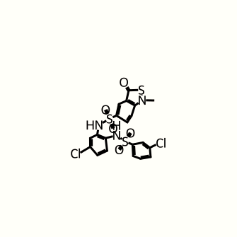 Cn1sc(=O)c2cc(S(=O)(=O)Nc3cc(Cl)ccc3NS(=O)(=O)c3cccc(Cl)c3)ccc21